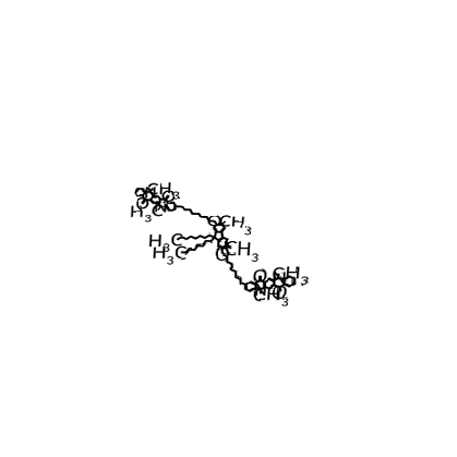 CCCCCCCCC1(CCCCCCCC)c2cc(OCCCCCCCCc3ccc4c(c3)c(=O)c3cc5c(cc3n4C)c(=O)c3ccccc3n5C)c(C)cc2-c2cc(C)c(OCCCCCCCCc3ccc4c(c3)c(=O)c3cc5c(cc3n4C)c(=O)c3ccccc3n5C)cc21